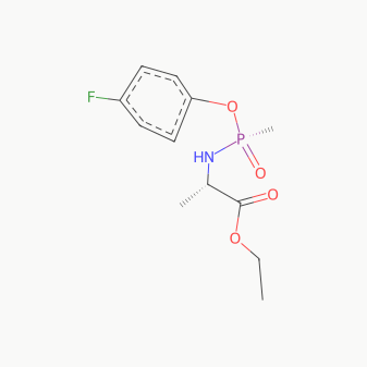 CCOC(=O)[C@H](C)N[P@](C)(=O)Oc1ccc(F)cc1